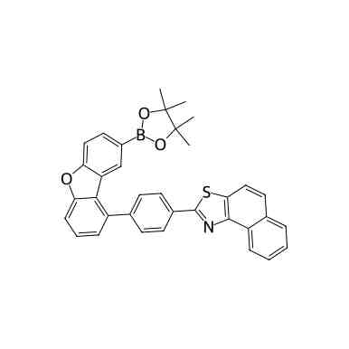 CC1(C)OB(c2ccc3oc4cccc(-c5ccc(-c6nc7c(ccc8ccccc87)s6)cc5)c4c3c2)OC1(C)C